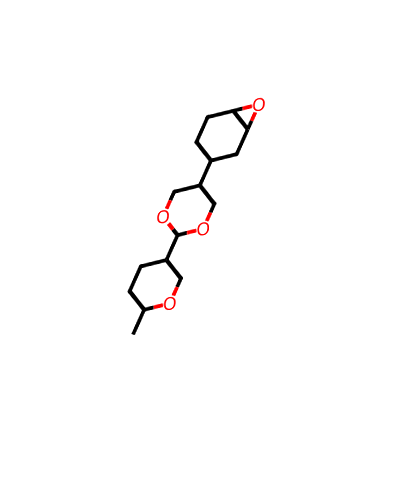 CC1CCC(C2OCC(C3CCC4OC4C3)CO2)CO1